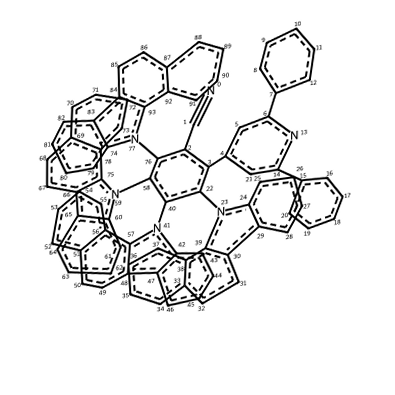 N#Cc1c(-c2cc(-c3ccccc3)nc(-c3ccccc3)c2)c(-n2c3ccccc3c3ccc4ccccc4c32)c(-n2c3ccccc3c3ccc4ccccc4c32)c(-n2c3ccccc3c3ccc4ccccc4c32)c1-n1c2ccccc2c2ccc3ccccc3c21